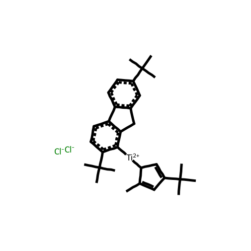 CC1=CC(C(C)(C)C)=C[CH]1[Ti+2][c]1c(C(C)(C)C)ccc2c1Cc1cc(C(C)(C)C)ccc1-2.[Cl-].[Cl-]